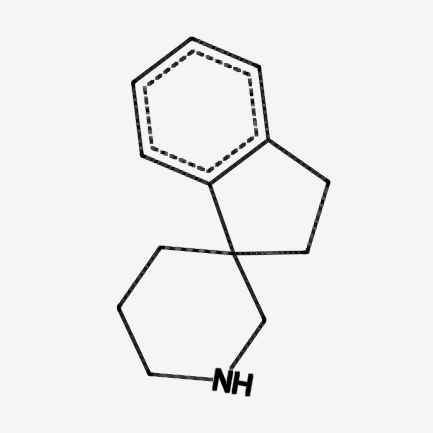 c1ccc2c(c1)CCC21CCCNC1